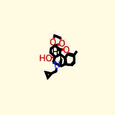 Cc1ccc2c3c1O[C@H]1C4(CC[C@@]5(O)C(C2)N(CC2CC2)CC[C@]315)OCCO4